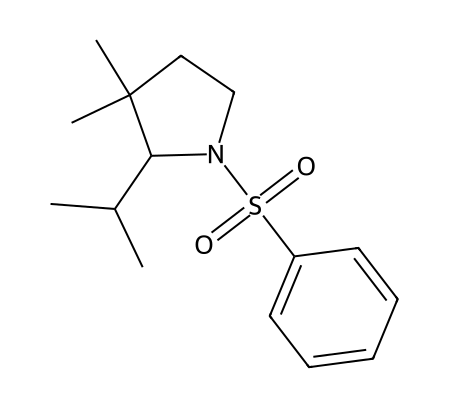 CC(C)C1N(S(=O)(=O)c2ccccc2)CCC1(C)C